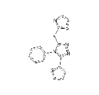 c1ccc(-n2c(Sc3nccs3)nnc2-c2cccs2)cc1